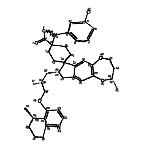 COC(=O)C1(Nc2cccc(Cl)c2)CCC2(CC1)c1cc3c(cc1C[C@@H]2C[C@@H](C)COc1ccnc2c1[C@H](C)CCC2)O[C@@H](C)CCO3